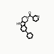 O=C(c1cccnc1)N1CCc2[nH]c3ccc(-c4ccccc4)cc3c2C1